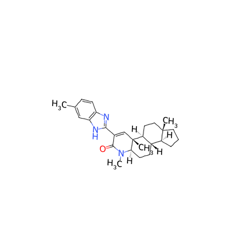 Cc1ccc2nc(C3=C[C@]4(C)[C@H]5CC[C@]6(C)CCC[C@H]6[C@@H]5CC[C@H]4N(C)C3=O)[nH]c2c1